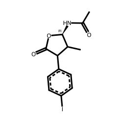 CC(=O)N[C@@H]1OC(=O)C(c2ccc(I)cc2)C1C